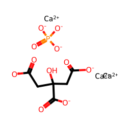 O=C([O-])CC(O)(CC(=O)[O-])C(=O)[O-].O=P([O-])([O-])[O-].[Ca+2].[Ca+2].[Ca+2]